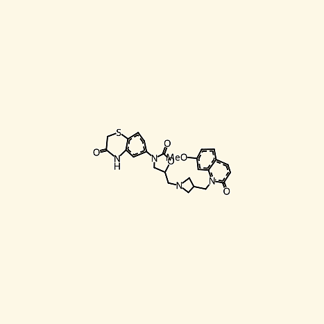 COc1ccc2ccc(=O)n(CC3CN(CC4CN(c5ccc6c(c5)NC(=O)CS6)C(=O)O4)C3)c2c1